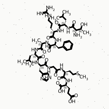 CSCC[C@H](NC(=O)CNC(=O)[C@H](Cc1c[nH]cn1)NC(=O)[C@H](CC(C)C)NC(=O)[C@H](C)NC(=O)[C@H](Cc1ccccc1)NC(=O)[C@H](CCCNC(=N)N)NC(=O)[C@H](CC(C)C)NC(=O)[C@@H](N)[C@@H](C)O)C(=O)N[C@@H](CCC(=O)O)C(=O)O